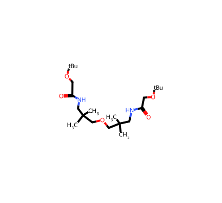 CC(C)(CNC(=O)COC(C)(C)C)COCC(C)(C)CNC(=O)COC(C)(C)C